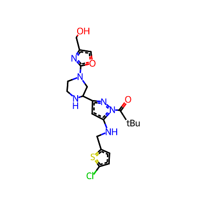 CC(C)(C)C(=O)n1nc(C2CN(c3nc(CO)co3)CCN2)cc1NCc1ccc(Cl)s1